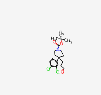 CC(C)(C)OC(=O)N1CCC(CCC=O)(c2ccc(Cl)c(Cl)c2)CC1